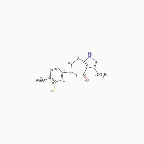 CCOC(=O)c1c[nH]c2c1C(=O)CC(c1ccc(OC)c(F)c1)CC2